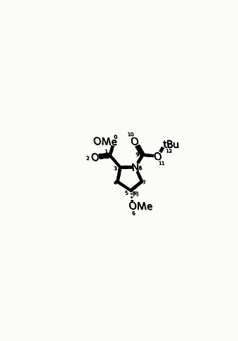 COC(=O)C1C[C@@H](OC)CN1C(=O)OC(C)(C)C